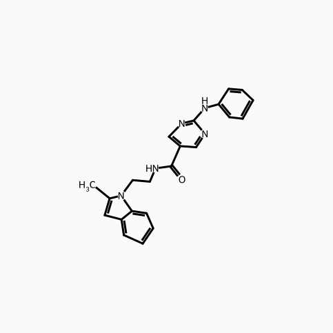 Cc1cc2ccccc2n1CCNC(=O)c1cnc(Nc2ccccc2)nc1